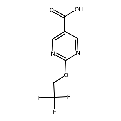 O=C(O)c1cnc(OCC(F)(F)F)nc1